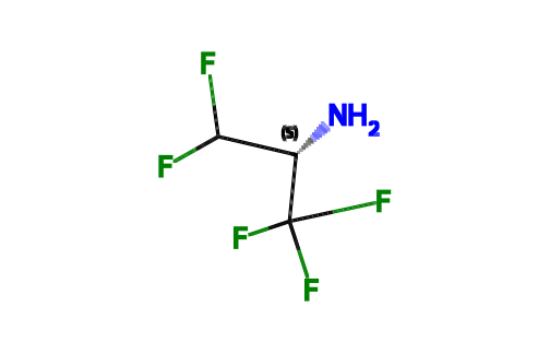 N[C@@H](C(F)F)C(F)(F)F